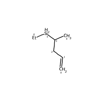 C=CCC(C)[SiH2]CC